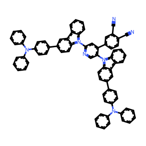 N#Cc1ccc(-c2cc(-n3c4ccccc4c4cc(-c5ccc(N(c6ccccc6)c6ccccc6)cc5)ccc43)ncc2-n2c3ccccc3c3cc(-c4ccc(N(c5ccccc5)c5ccccc5)cc4)ccc32)cc1C#N